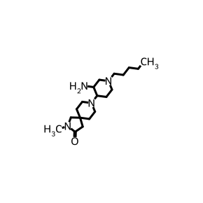 CCCCCN1CCC(N2CCC3(CC2)CC(=O)N(C)C3)C(N)C1